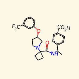 CC(NC(=O)C1(N2CC[C@@H](Oc3cccc(C(F)(F)F)c3)C2)CCC1)c1ccc(C(=O)O)cc1